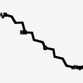 CCCCCCCCCCCOCCCNCCCN